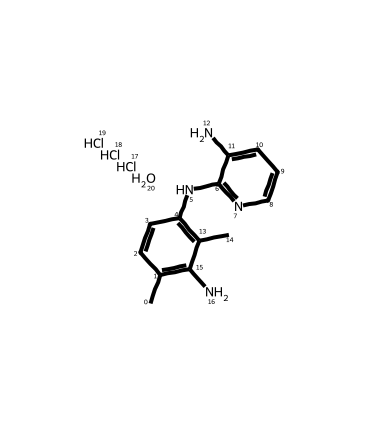 Cc1ccc(Nc2ncccc2N)c(C)c1N.Cl.Cl.Cl.O